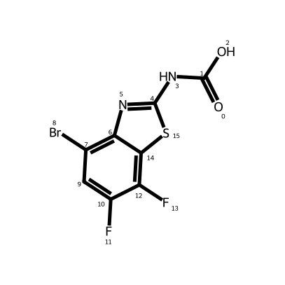 O=C(O)Nc1nc2c(Br)cc(F)c(F)c2s1